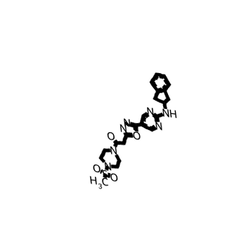 CS(=O)(=O)N1CCN(C(=O)Cc2nnc(-c3cnc(NC4Cc5ccccc5C4)nc3)o2)CC1